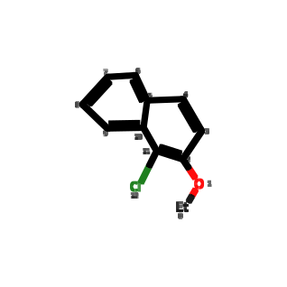 CCOc1ccc2ccccc2c1Cl